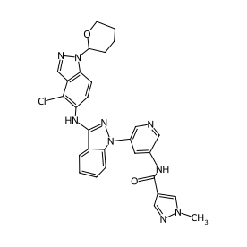 Cn1cc(C(=O)Nc2cncc(-n3nc(Nc4ccc5c(cnn5C5CCCCO5)c4Cl)c4ccccc43)c2)cn1